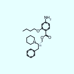 CCCCOc1cc(N)ccc1C(=O)OC[C@H](Cc1ccccc1)N1CCCCC1